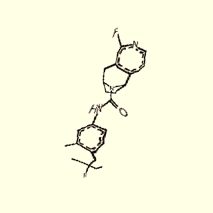 Cc1cc(NC(=O)N2C3CCC2c2ccnc(F)c2C3)ccc1C(C)(C)F